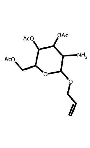 C=CCOC1OC(COC(C)=O)C(OC(C)=O)C(OC(C)=O)C1N